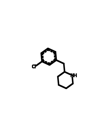 Clc1cccc(CC2CCCCN2)c1